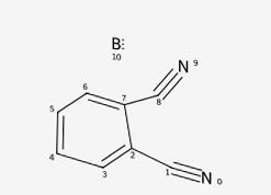 N#Cc1ccccc1C#N.[B]